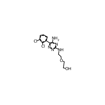 Nc1nc(NCCOCCO)nnc1-c1cccc(Cl)c1Cl